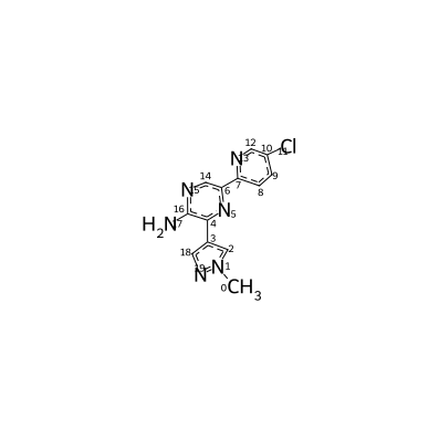 Cn1cc(-c2nc(-c3ccc(Cl)cn3)cnc2N)cn1